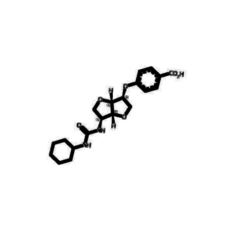 O=C(NC1CCCCC1)N[C@H]1CO[C@H]2[C@@H]1OC[C@@H]2Oc1ccc(C(=O)O)cc1